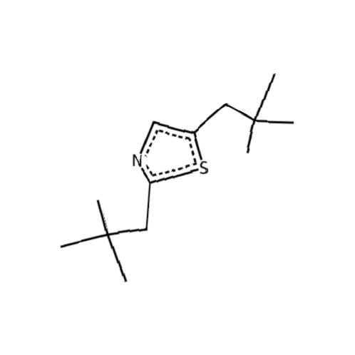 CC(C)(C)Cc1cnc(CC(C)(C)C)s1